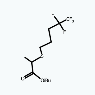 CC(C)COC(=O)C(C)SCCCC(F)(F)C(F)(F)F